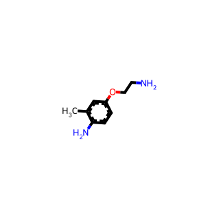 Cc1cc(OCCN)ccc1N